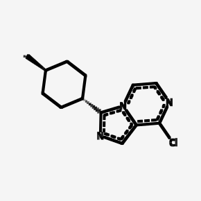 [CH2][C@H]1CC[C@H](c2ncc3c(Cl)nccn32)CC1